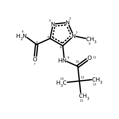 Cn1nnc(C(N)=O)c1NC(=O)C(C)(C)C